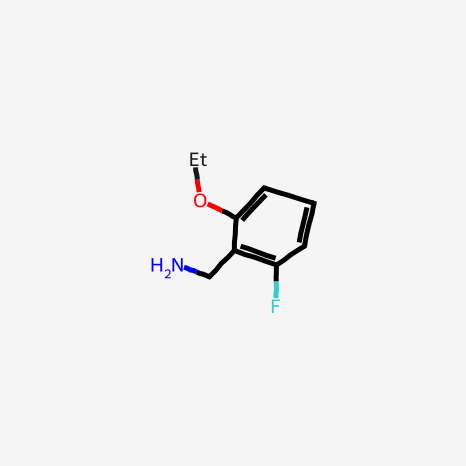 CCOc1cccc(F)c1CN